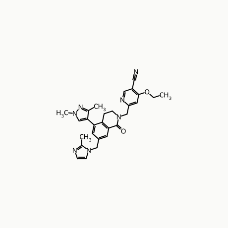 CCOc1cc(CN2CCc3c(cc(Cn4ccnc4C)cc3-c3cn(C)nc3C)C2=O)ncc1C#N